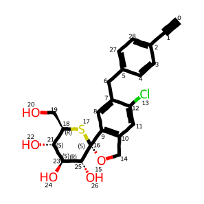 C#Cc1ccc(Cc2cc3c(cc2Cl)CO[C@]32S[C@H](CO)[C@@H](O)[C@H](O)[C@H]2O)cc1